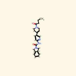 CCCC(=O)N1CC=C(c2ccc(NC(=O)N3Cc4ccccc4C3)nc2)CC1